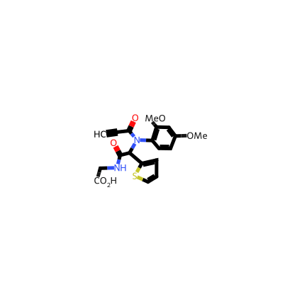 C#CC(=O)N(c1ccc(OC)cc1OC)C(C(=O)NCC(=O)O)c1cccs1